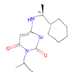 CC(C)n1c(=O)cc(N[C@@H](C)C2CCCCC2)[nH]c1=O